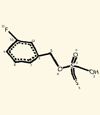 O=S(O)(=S)OCc1cccc(F)c1